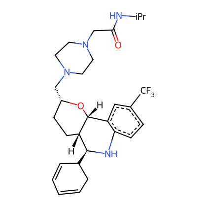 CC(C)NC(=O)CN1CCN(C[C@H]2CC[C@@H]3[C@H](O2)c2cc(C(F)(F)F)ccc2N[C@H]3C2C=CC=CC2)CC1